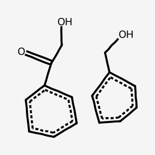 O=C(CO)c1ccccc1.OCc1ccccc1